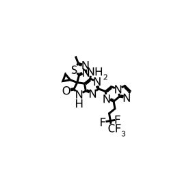 Cc1nnc(C2(C3CC3)C(=O)Nc3nc(-c4cn5ccnc5c(CCC(F)(F)C(F)(F)F)n4)nc(N)c32)s1